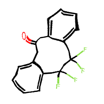 O=C1c2ccccc2C(F)(F)C(F)(F)c2ccccc21